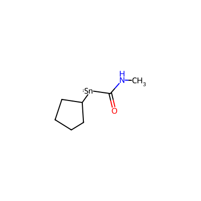 CN[C](=O)[Sn][CH]1CCCC1